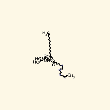 CC/C=C\C/C=C\C/C=C\C/C=C\CCCCC(=O)OC[C@H](COP(=O)(O)OC[C@@H](O)CO)OC(=O)CCCCCCCCCCCCCC